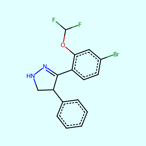 FC(F)Oc1cc(Br)ccc1C1=NNCC1c1ccccc1